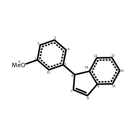 COc1cccc(C2C=Cc3ccccc32)c1